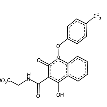 O=C(O)CNC(=O)c1c(O)c2ccccc2n(Oc2ccc(C(F)(F)F)cc2)c1=O